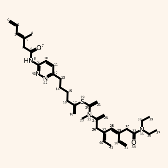 C=C/C=C(\C)CC(=O)Nc1ccc(CCCCC(=C)SC(=C)N(C)C(=C)CC(/C=C(\C=C)CC(=O)N(CC)CC)=C/C)nn1